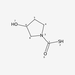 O=C(S)N1CCC(O)C1